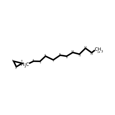 C1CC1.CCCCCCCCCCCC